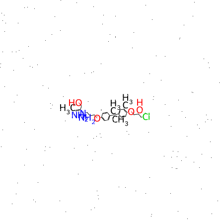 C/C(N)=C(\CO)N(N)CCCOc1ccc(C(C)(C)c2ccc(OCC(O)CCl)c(C)c2)cc1